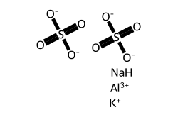 O=S(=O)([O-])[O-].O=S(=O)([O-])[O-].[Al+3].[K+].[NaH]